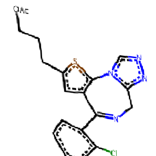 CC(=O)OCCCc1cc2c(s1)-n1cnnc1CN=C2c1ccccc1Cl